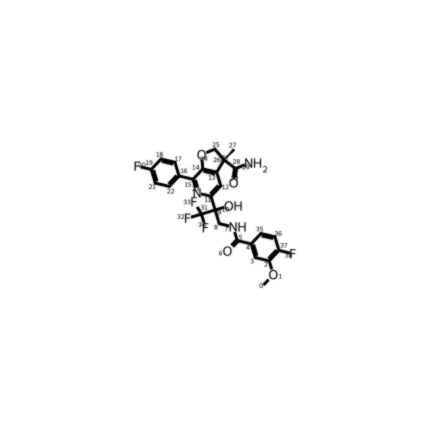 COc1cc(C(=O)NCC(O)(c2cc3c(c(-c4ccc(F)cc4)n2)OC[C@]3(C)C(N)=O)C(F)(F)F)ccc1F